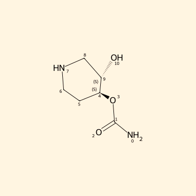 NC(=O)O[C@H]1CCNC[C@@H]1O